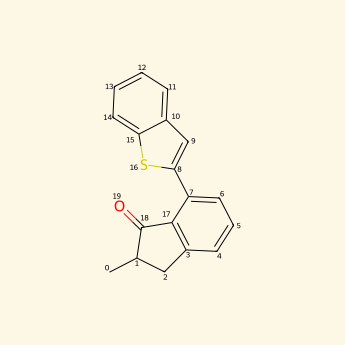 CC1Cc2cccc(-c3cc4ccccc4s3)c2C1=O